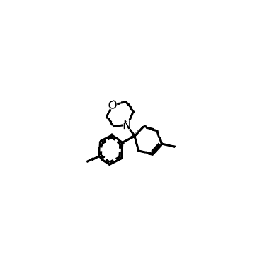 CC1=CCC(c2ccc(C)cc2)(N2CCOCC2)CC1